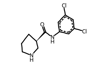 O=C(Nc1cc(Cl)cc(Cl)c1)[C@@H]1CCCNC1